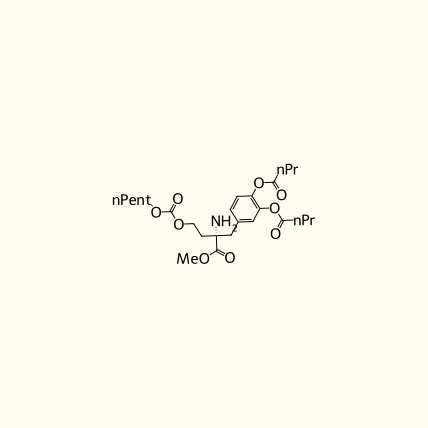 CCCCCOC(=O)OCC[C@@](N)(Cc1ccc(OC(=O)CCC)c(OC(=O)CCC)c1)C(=O)OC